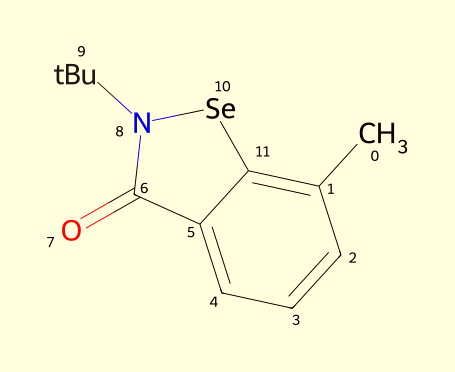 Cc1cccc2c(=O)n(C(C)(C)C)[se]c12